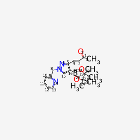 CC(=O)/C=C/c1nn(Cc2ccccn2)cc1B1OC(C)(C)C(C)(C)O1